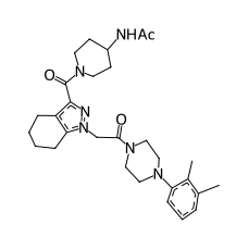 CC(=O)NC1CCN(C(=O)c2nn(CC(=O)N3CCN(c4cccc(C)c4C)CC3)c3c2CCCC3)CC1